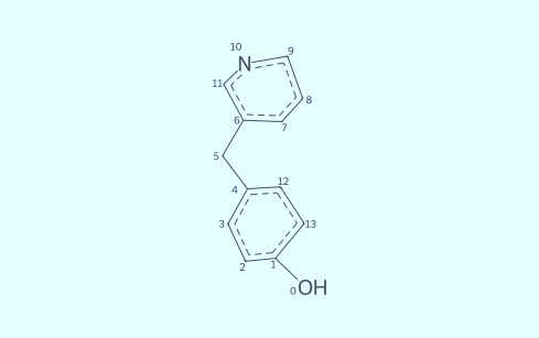 Oc1ccc(Cc2cccnc2)cc1